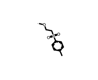 [CH2]OCCS(=O)(=O)c1ccc(C)cc1